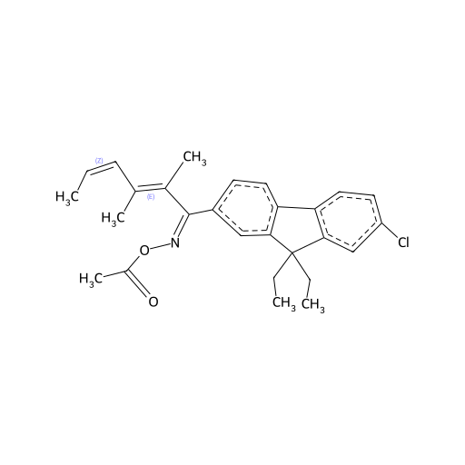 C/C=C\C(C)=C(/C)C(=NOC(C)=O)c1ccc2c(c1)C(CC)(CC)c1cc(Cl)ccc1-2